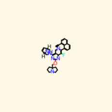 C#Cc1cccc2cccc(-c3ncc4c(N5C[C@H]6C=C[C@@H](C5)N6)nc(OCC56CCCN5CCC6)nc4c3F)c12